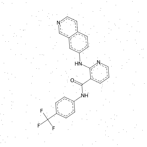 O=C(Nc1ccc(C(F)(F)F)cc1)c1cccnc1Nc1ccc2ccncc2c1